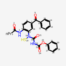 CCCC(=O)Nc1ccc(C(=O)c2ccccc2)cc1N(S)C(=O)NC(=O)Oc1ccccc1